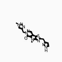 Cn1cc(Cn2ncc3c4sc(Cc5cc[nH]n5)nc4n(C)c3c2=O)nn1